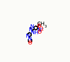 COc1cc2ncnc(Nc3ccnc(N4CCOCC4)c3)c2cc1[N+](=O)[O-]